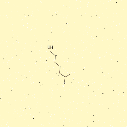 CCCCC[C](C)C.[LiH]